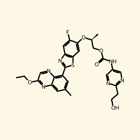 CCOc1cnc2c(-c3nc4cc(F)c(O[C@@H](C)COC(=O)Nc5cnc(CCO)nc5)cc4s3)cc(C)cc2n1